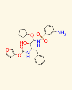 Nc1cccc(S(=O)(=O)NC(OC2CCCC2)[C@H](O)[C@H](Cc2ccccc2)NC(=O)Oc2ccoc2)c1